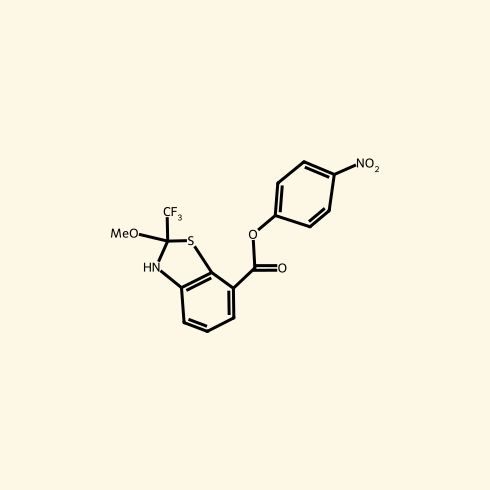 COC1(C(F)(F)F)Nc2cccc(C(=O)Oc3ccc([N+](=O)[O-])cc3)c2S1